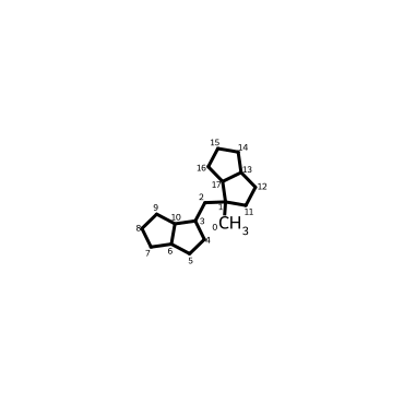 CC1(CC2CCC3CCCC32)CCC2CCCC21